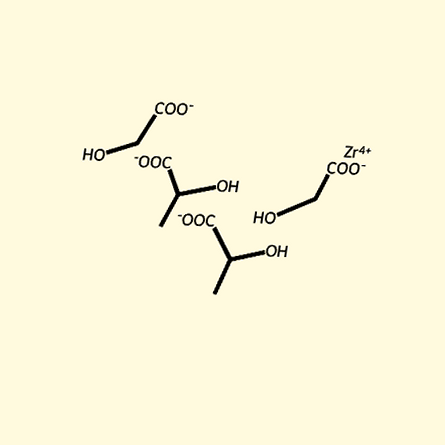 CC(O)C(=O)[O-].CC(O)C(=O)[O-].O=C([O-])CO.O=C([O-])CO.[Zr+4]